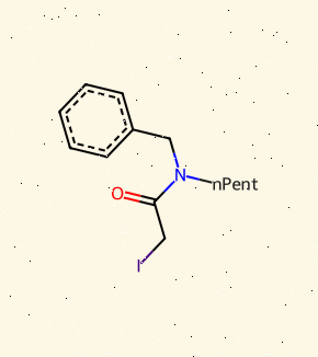 CCCCCN(Cc1ccccc1)C(=O)CI